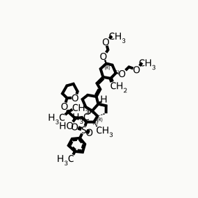 C=C1C(=CC=C2CCC[C@]3(C)[C@@H]([C@H](C)C(CC(O)C(C)(C)OC4CCCCO4)S(=O)(=O)c4ccc(C)cc4)CC[C@@H]23)C[C@@H](OCOC)C[C@@H]1OCOC